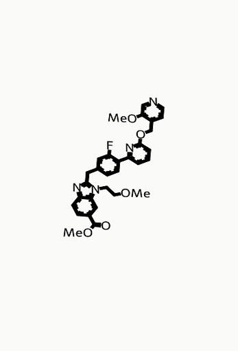 COCCn1c(Cc2ccc(-c3cccc(OCc4ccncc4OC)n3)c(F)c2)nc2ccc(C(=O)OC)cc21